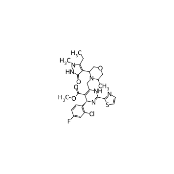 CCc1c(C2COCC(C)N2CC2=C(C(=O)OC)[C@H](c3ccc(F)cc3Cl)N=C(c3nccs3)N2)c(=O)[nH]n1C